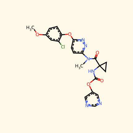 COc1ccc(Oc2ccc(N(C)C(=O)C3(NC(=O)Oc4cncnc4)CC3)nn2)c(Cl)c1